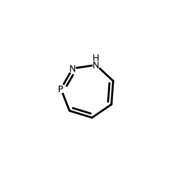 C1=CNN=PC=C1